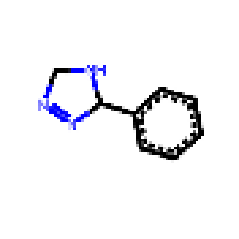 c1ccc(C2N=NCN2)cc1